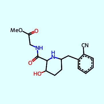 COC(=O)CNC(=O)C1NC(Cc2ccccc2C#N)CCC1O